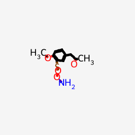 COc1ccc(CC(C)=O)cc1SOON